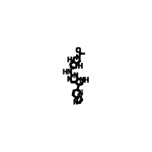 CC(=O)N1C[C@H]2C[C@@H](Nc3ncc4c(-c5ccc6nccn6n5)c[nH]c4n3)C[C@H]2C1